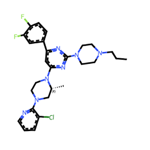 CCCN1CCN(c2nc(-c3ccc(F)c(F)c3)cc(N3CCN(c4ncccc4Cl)C[C@H]3C)n2)CC1